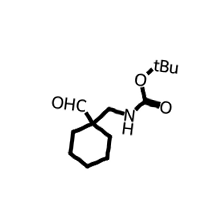 CC(C)(C)OC(=O)NCC1(C=O)CCCCC1